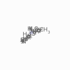 Cc1ccc(-c2csc(/C(C#N)=C\Cc3ccc(SNc4nccs4)cc3)n2)c(C)c1